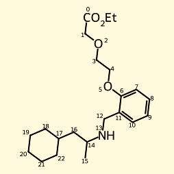 CCOC(=O)COCCOc1ccccc1CNC(C)CC1CCCCC1